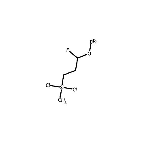 CCCOC(F)CC[Si](C)(Cl)Cl